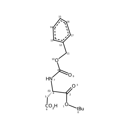 CC(C)(C)OC(=O)[C@H](CC(=O)O)NC(=O)OCc1ccccc1